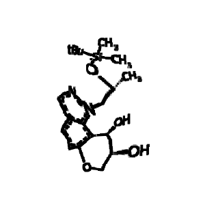 C[C@H](Cn1ncc2ccc3c(c21)[C@@H](O)[C@@H](O)CO3)O[Si](C)(C)C(C)(C)C